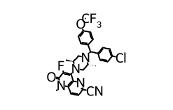 C[C@@H]1CN(c2c(F)c(=O)n(C)c3ccc(C#N)nc23)[C@@H](C)CN1C(c1ccc(Cl)cc1)c1ccc(OC(F)(F)F)cc1